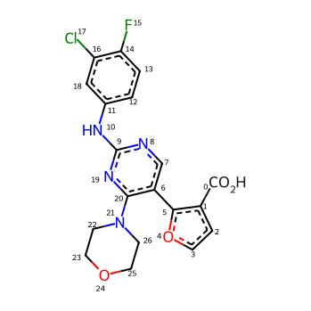 O=C(O)c1ccoc1-c1cnc(Nc2ccc(F)c(Cl)c2)nc1N1CCOCC1